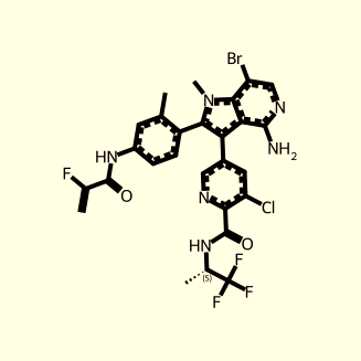 C=C(F)C(=O)Nc1ccc(-c2c(-c3cnc(C(=O)N[C@@H](C)C(F)(F)F)c(Cl)c3)c3c(N)ncc(Br)c3n2C)c(C)c1